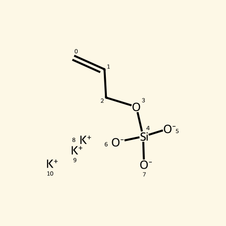 C=CCO[Si]([O-])([O-])[O-].[K+].[K+].[K+]